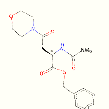 CNC(=O)N[C@H](CC(=O)N1CCOCC1)C(=O)OCc1ccccc1